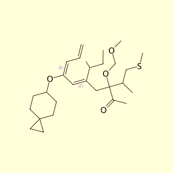 C=C/C=C(\C=C(\CC(OCOC)(C(C)=O)C(C)CSC)C(C)CC)OC1CCC2(CC1)CC2